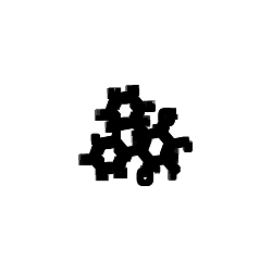 CC1=C(C)C(=O)C(c2ccccc2)=C(c2ccccc2)C1=O